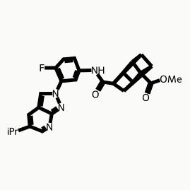 COC(=O)C12C3C4C1C1C2C3C41C(=O)Nc1ccc(F)c(-n2cc3cc(C(C)C)cnc3n2)c1